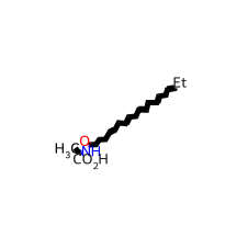 CCC=CCC=CCC=CCC=CCC=CCCCC(=O)NC(C)C(=O)O